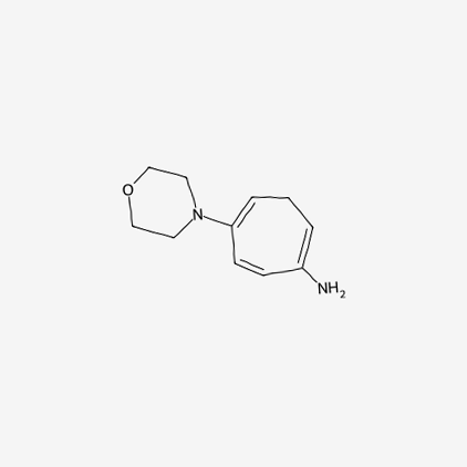 NC1=CCC=C(N2CCOCC2)C=C1